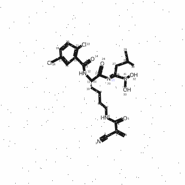 C=C(C#N)C(=O)NCCCC[C@H](NC(=O)c1cc(Cl)ccc1Cl)C(=O)/N=C(\CC(C)C)B(O)O